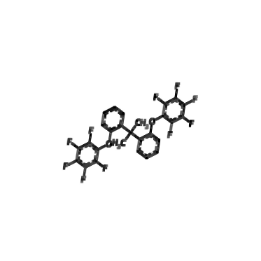 CC(C)(c1ccccc1Oc1c(F)c(F)c(F)c(F)c1F)c1ccccc1Oc1c(F)c(F)c(F)c(F)c1F